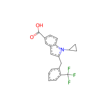 O=C(O)c1ccc2c(c1)cc(Cc1ccccc1C(F)(F)F)n2C1CC1